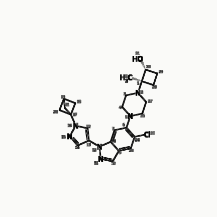 C[C@@]1(N2CCN(c3cc4c(cnn4-c4cnn(C56CC(C5)C6)c4)cc3Cl)CC2)CC[C@H]1O